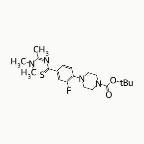 CC(=NC(=S)c1ccc(N2CCN(C(=O)OC(C)(C)C)CC2)c(F)c1)N(C)C